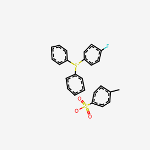 Cc1ccc(S(=O)(=O)[O-])cc1.Fc1ccc([S+](c2ccccc2)c2ccccc2)cc1